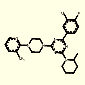 CC1CCCCN1c1nc(-c2ccc(F)c(Cl)c2)nc(N2CCN(c3ncccc3C(F)(F)F)CC2)n1